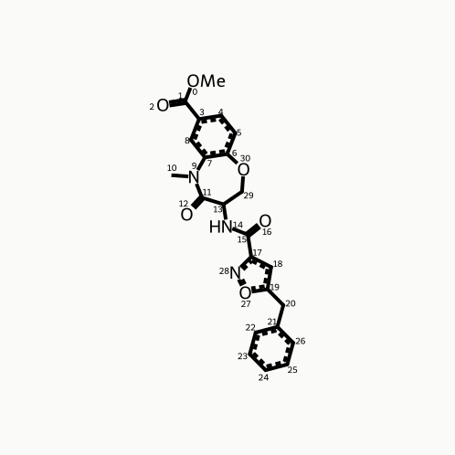 COC(=O)c1ccc2c(c1)N(C)C(=O)C(NC(=O)c1cc(Cc3ccccc3)on1)CO2